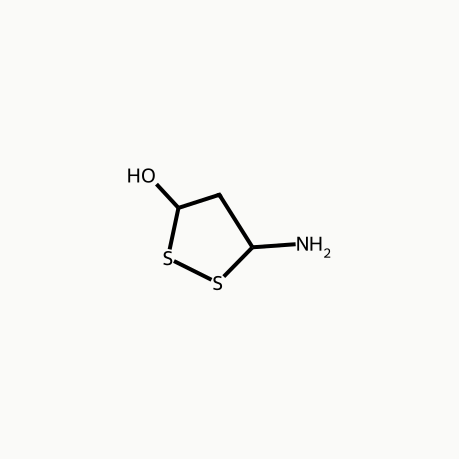 NC1CC(O)SS1